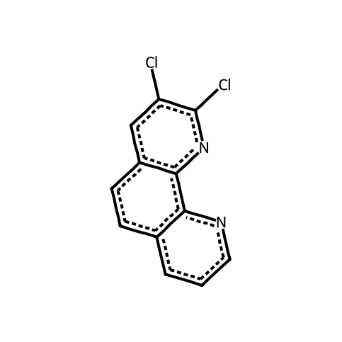 Clc1cc2ccc3cccnc3c2nc1Cl